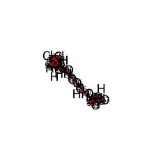 O=C(CNc1cccc2c1C(=O)N(C1CCC(=O)NC1=O)C2=O)NCCCOCCOCCOCCCNC(=O)c1ccc(NC(=O)[C@@H]2NC3(CCCCC3)[C@]34C(=O)Nc5cc(Cl)c(cc53)-c3c(Cl)cccc3[C@@H]24)cc1